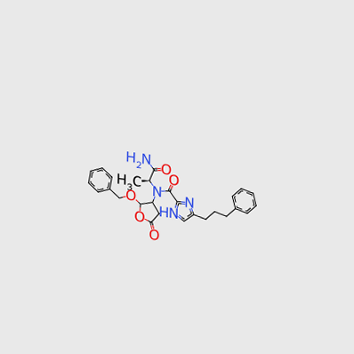 C[C@@H](C(N)=O)N(C(=O)c1nc(CCCc2ccccc2)c[nH]1)C1CC(=O)OC1OCc1ccccc1